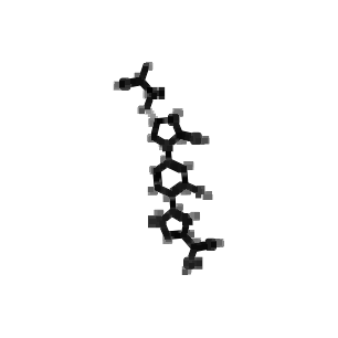 CC(=O)NC[C@H]1CN(c2ccc(-c3nc(C(=O)O)c[nH]3)c(F)c2)C(=O)O1